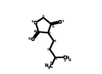 CC(C)CCC1C(=O)COC1=O